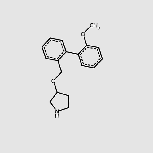 COc1ccccc1-c1ccccc1COC1CCNC1